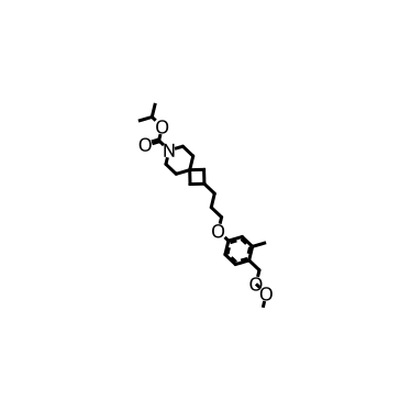 COOCc1ccc(OCCCC2CC3(CCN(C(=O)OC(C)C)CC3)C2)cc1C